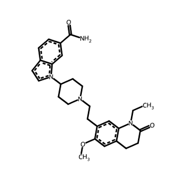 CCN1C(=O)CCc2cc(OC)c(CCN3CCC(n4ccc5ccc(C(N)=O)cc54)CC3)cc21